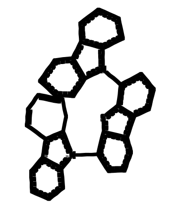 C1=CCc2c(c3ccccc3n2-c2cccc3c2sc2c(-n4c5ccccc5c5ccccc54)cccc23)C=C1